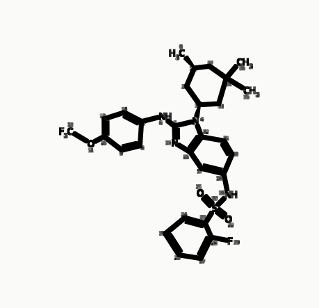 C[C@@H]1C[C@H](n2c(Nc3ccc(OC(F)(F)F)cc3)nc3cc(NS(=O)(=O)c4ccccc4F)ccc32)CC(C)(C)C1